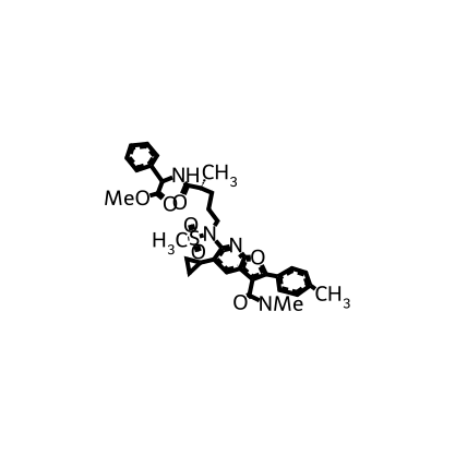 CNC(=O)c1c(-c2ccc(C)cc2)oc2nc(N(CCC[C@@H](C)C(=O)NC(C(=O)OC)c3ccccc3)S(C)(=O)=O)c(C3CC3)cc12